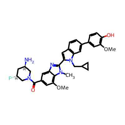 COc1cc(-c2ccc3cc(-c4nc5cc(C(=O)N6C[C@H](N)C[C@@H](F)C6)cc(OC)c5n4C)n(CC4CC4)c3c2)ccc1O